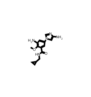 COc1c(N)cc(-n2cnc(N)c2)cc1C(=O)NCC1CC1